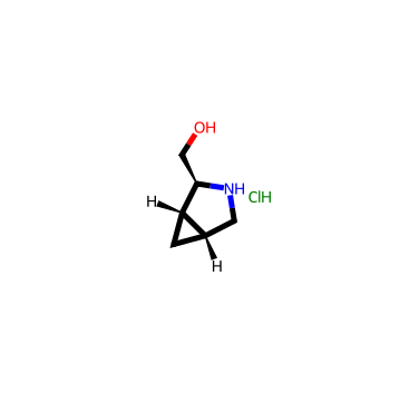 Cl.OC[C@H]1NC[C@@H]2C[C@@H]21